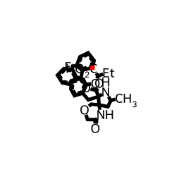 CCC(Oc1c(CC2(C(=O)OCc3ccccc3)NC(C)CC23COCC(=O)N3)cccc1-c1ccccc1F)C(=O)O